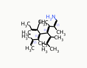 C\C=C(C)/C(C)=C(C(C)=C(C)C)/C(C(C)=C(C)C)=C(C)/C(C)=C\N